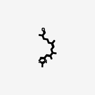 C/C(=C/CC(C)/C(C)=C/c1csc(C)n1)CCCC(C)C=O